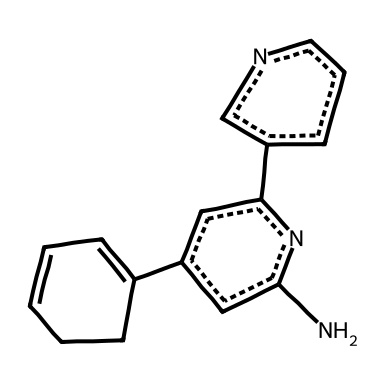 Nc1cc(C2=CC=CCC2)cc(-c2cccnc2)n1